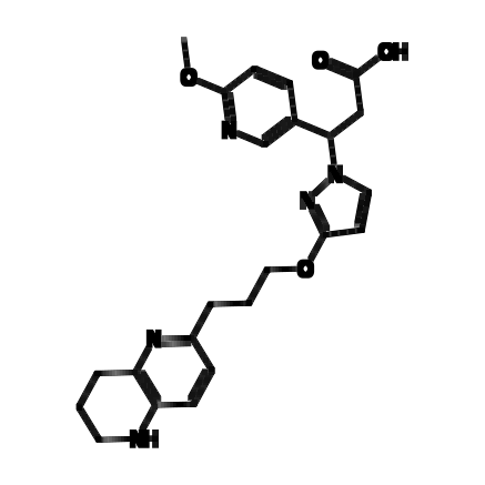 COc1ccc(C(CC(=O)O)n2ccc(OCCCc3ccc4c(n3)CCCN4)n2)cn1